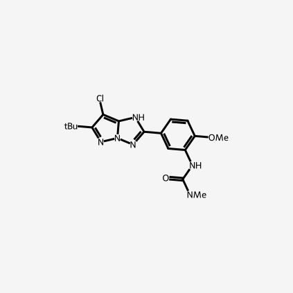 CNC(=O)Nc1cc(-c2nn3nc(C(C)(C)C)c(Cl)c3[nH]2)ccc1OC